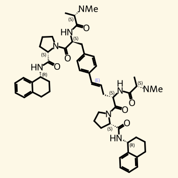 CN[C@@H](C)C(=O)N[C@@H](C/C=C/c1ccc(C[C@H](NC(=O)[C@H](C)NC)C(=O)N2CCC[C@H]2C(=O)N[C@@H]2CCCc3ccccc32)cc1)C(=O)N1CCC[C@H]1C(=O)N[C@@H]1CCCc2ccccc21